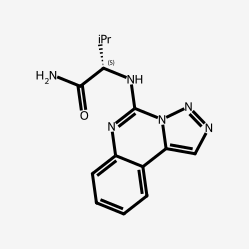 CC(C)[C@H](Nc1nc2ccccc2c2cnnn12)C(N)=O